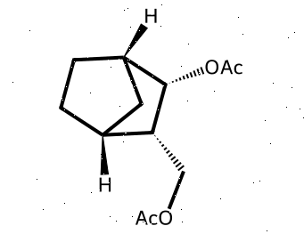 CC(=O)OC[C@@H]1[C@@H]2CC[C@@H](C2)[C@@H]1OC(C)=O